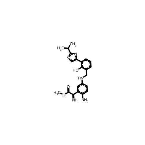 COC(=O)C(=N)c1cc(NCc2cccc(-c3csc(C(C)C)n3)c2O)ccc1N